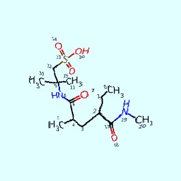 CCC(CC(C)C(=O)NC(C)(C)CS(=O)(=O)O)C(=O)NC